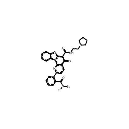 CCN(CC)C(=O)c1ccccc1-c1ccc2c(=O)c(C(=O)NCCN3CCCC3)c3sc4ccccc4n3c2n1